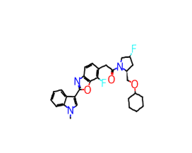 Cn1cc(-c2nc3ccc(CC(=O)N4C[C@@H](F)C[C@H]4COC4CCCCC4)c(F)c3o2)c2ccccc21